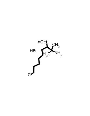 Br.CCCCCCCCC(CCCCCCCl)C(C)(C)N